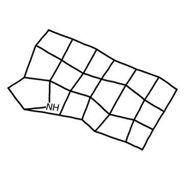 C1C2NC34C1C1CC5C6C7C8C9CC%10C%11CC%12C%13C%14C2C32C6(C154)C71C83C%109C%11%12C%133C%1421